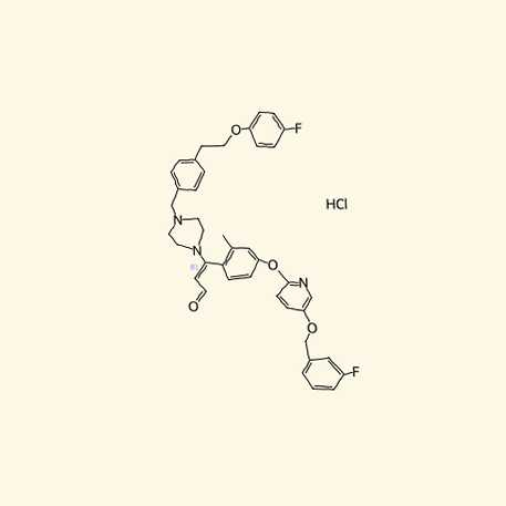 Cc1cc(Oc2ccc(OCc3cccc(F)c3)cn2)ccc1/C(=C\C=O)N1CCN(Cc2ccc(CCOc3ccc(F)cc3)cc2)CC1.Cl